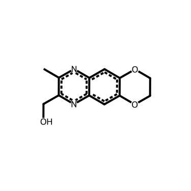 Cc1nc2cc3c(cc2nc1CO)OCCO3